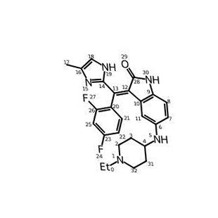 CCN1CCC(Nc2ccc3c(c2)/C(=C(/c2nc(C)c[nH]2)c2ccc(F)cc2F)C(=O)N3)CC1